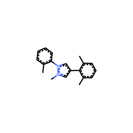 Cc1ccccc1-n1cc(-c2c(C)cccc2C)c[n+]1C